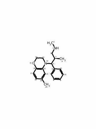 CNC[C@@H](C)C(c1ccccc1)N1CCOc2ccc(C)cc21